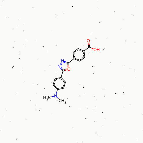 CN(C)c1ccc(-c2nnc(-c3ccc(C(=O)O)cc3)o2)cc1